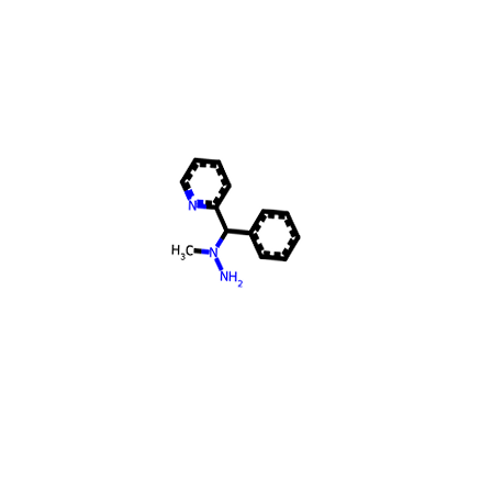 CN(N)C(c1ccccc1)c1ccccn1